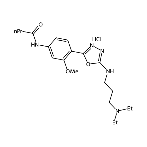 CCCC(=O)Nc1ccc(-c2nnc(NCCCN(CC)CC)o2)c(OC)c1.Cl